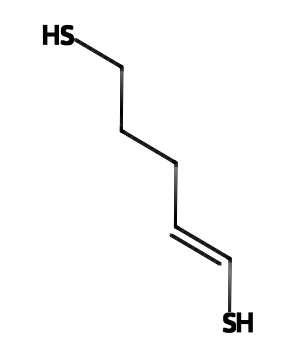 SC=CCCCS